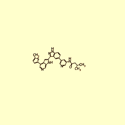 Cc1ccc(-c2cncc3[nH]c(-c4n[nH]c5ccc(-c6cncc(NC(=O)CC(C)C)c6)cc45)cc23)s1